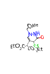 CCOC(=O)C(C(=O)OCC)C1=CN(COC)NC(=O)C1Cl